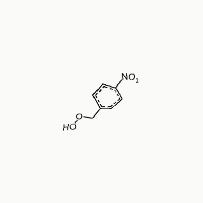 O=[N+]([O-])c1ccc(COO)cc1